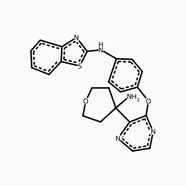 NC1(c2nccnc2Oc2ccc(Nc3nc4ccccc4s3)cc2)CCOCC1